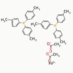 CC(=O)[O-].CC(=O)[O-].Cc1ccc(P(c2ccc(C)cc2)c2ccc(C)cc2)cc1.Cc1ccc(P(c2ccc(C)cc2)c2ccc(C)cc2)cc1.[Pd+2]